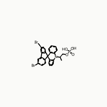 CC(COP(=O)(O)O)N1c2ccccc2C2(c3ccc(Br)cc3-c3cc(Br)ccc32)c2ccccc21